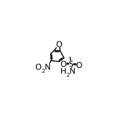 CS(N)(=O)=O.O=[N+]([O-])c1ccc2c(c1)O2